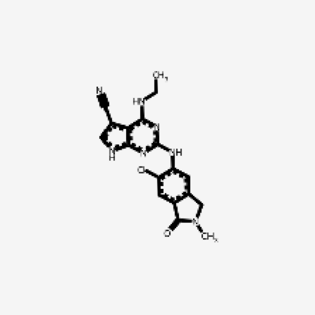 CCNc1nc(Nc2cc3c(cc2Cl)C(=O)N(C)C3)nc2[nH]cc(C#N)c12